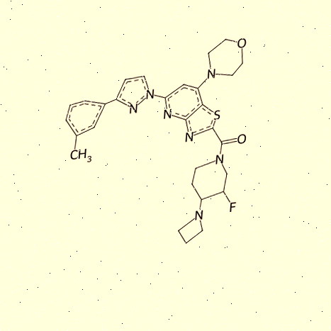 Cc1cccc(-c2ccn(-c3cc(N4CCOCC4)c4sc(C(=O)N5CCC(N6CCC6)C(F)C5)nc4n3)n2)c1